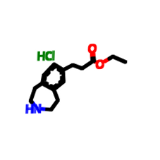 CCOC(=O)CCc1ccc2c(c1)CCNCC2.Cl